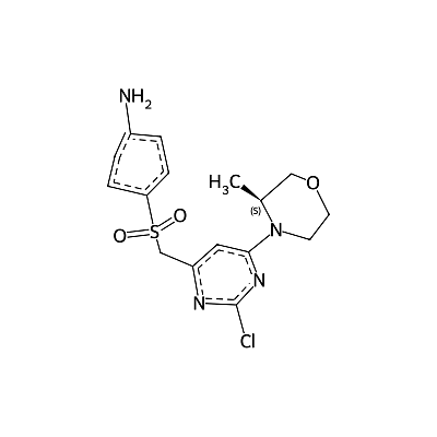 C[C@H]1COCCN1c1cc(CS(=O)(=O)c2ccc(N)cc2)nc(Cl)n1